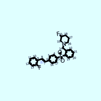 O=S(=O)(c1ccc(/C=C/c2ccccc2F)cc1)c1ccccc1CN1CCCC(F)C1